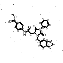 COC(=O)c1ccc(NC(=O)CC2C(=O)N(c3ccccc3)C(=O)N2Cc2ccc3c(c2)OCO3)cc1